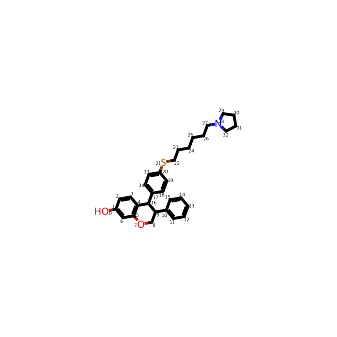 Oc1ccc2c(c1)OCC(c1ccccc1)C2c1ccc(SCCCCCCN2CCCC2)cc1